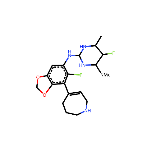 CNC1NC(Nc2cc3c(c(C4=CCNCCC4)c2F)OCO3)NC(C)C1F